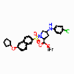 CC(C)OC(=O)[C@@H]1CC(Nc2ccc(Cl)cc2)CN1S(=O)(=O)c1ccc2cc(OC3CCCC3)ccc2c1